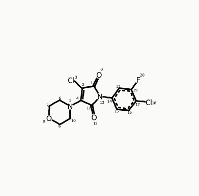 O=C1C(Cl)=C(N2CCOCC2)C(=O)N1c1ccc(Cl)c(F)c1